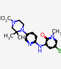 Cn1cc(Br)cc(Nc2ccc(N3CCN(C(=O)O)CC3(C)C)cn2)c1=O